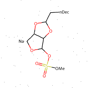 CCCCCCCCCCCC1OC2COC(OS(=O)(=O)OC)C2O1.[Na]